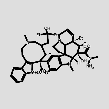 CCC(O)(CC)CC1CN(C)CCc2c([nH]c3ccccc23)[C@@](C(=O)OC)(c2cc3c(cc2OC)N(C)[C@H]2[C@@](O)(C(=O)N(C)N)[C@H](O)[C@]4(CC)C=CCN5CC[C@]32C54)[C@H]1C